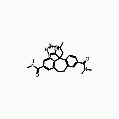 CC(N)CC1(c2nnn[nH]2)c2ccc(C(=O)N(C)C)cc2CCc2cc(C(=O)N(C)C)ccc21